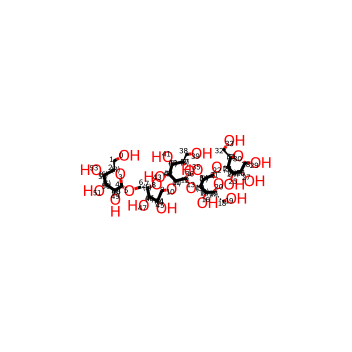 OC[C@H]1OC(OC[C@@H]2OC(O[C@H]3C(O[C@H]4[C@H](O)[C@@H](CO)OC(O[C@H]5[C@H](O)[C@@H](O)C(O)O[C@@H]5CO)[C@@H]4O)O[C@H](CO)[C@@H](O)[C@@H]3O)[C@H](O)[C@H]2O)[C@H](O)[C@@H](O)[C@@H]1O